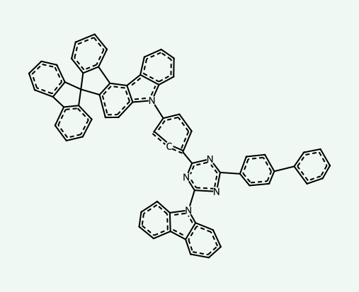 c1ccc(-c2ccc(-c3nc(-c4ccc(-n5c6ccccc6c6c7c(ccc65)C5(c6ccccc6-c6ccccc65)c5ccccc5-7)cc4)nc(-n4c5ccccc5c5ccccc54)n3)cc2)cc1